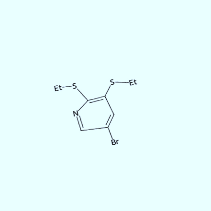 CCSc1cc(Br)cnc1SCC